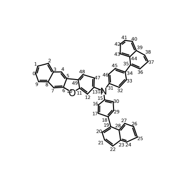 c1ccc2cc3c(cc2c1)oc1cc(N(c2ccc(-c4cccc5ccccc45)cc2)c2ccc(-c4cccc5ccccc45)cc2)ccc13